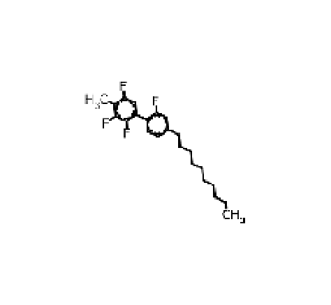 CCCCCCCCCCc1ccc(-c2cc(F)c(C)c(F)c2F)c(F)c1